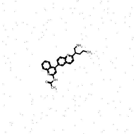 CCCC(CN)c1ccc2cc(-c3cc(NC(C)=O)nc4ccccc34)ccc2n1